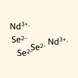 [Nd+3].[Nd+3].[Se-2].[Se-2].[Se-2]